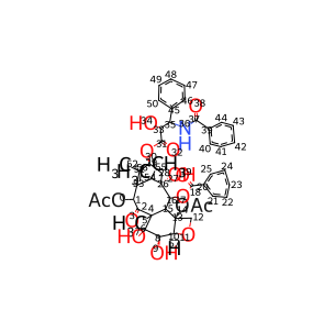 CC(=O)OC1C(=O)C2(C)C(O)[C@H](O)[C@@H]3OC[C@@]3(OC(C)=O)C2C(OC(=O)c2ccccc2)[C@]2(O)C[C@H](OC(=O)C(O)C(NC(=O)c3ccccc3)c3ccccc3)C(C)=C1C2(C)C